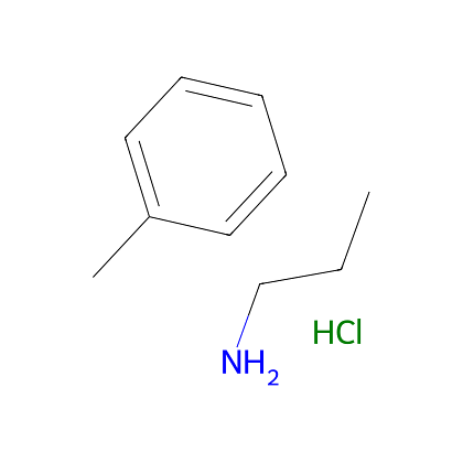 CCCN.Cc1ccccc1.Cl